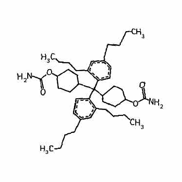 CCCCc1ccc(C(c2ccc(CCCC)cc2CCCC)(C2CCC(OC(N)=O)CC2)C2CCC(OC(N)=O)CC2)c(CCCC)c1